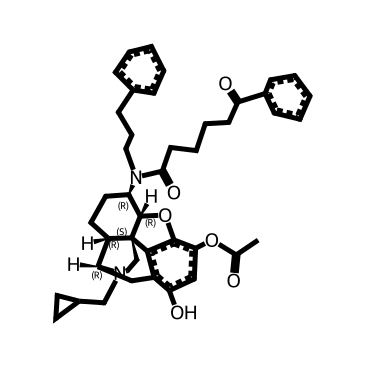 CC(=O)Oc1cc(O)c2c3c1O[C@H]1[C@H](N(CCCc4ccccc4)C(=O)CCCCC(=O)c4ccccc4)CC[C@H]4[C@@H](C2)N(CC2CC2)CC[C@@]341